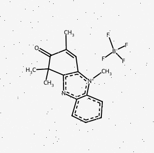 CC1=Cc2c(nc3ccccc3[n+]2C)C(C)(C)C1=O.F[B-](F)(F)F